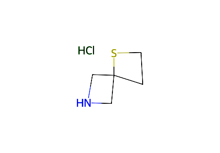 C1CC2(CNC2)S1.Cl